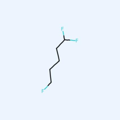 FCCCCC(F)F